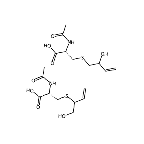 C=CC(CO)SC[C@@H](NC(C)=O)C(=O)O.C=CC(O)CSC[C@@H](NC(C)=O)C(=O)O